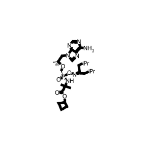 CC(C)CC(CC(C)C)=NO[P@@](=O)(CO[C@H](C)Cn1cnc2c(N)ncnc21)NC(C)(C)C(=O)OC1CCC1